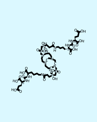 O=C(O)CC[C@H](NC(=O)NC(CCCCNC(=O)CCP(=O)(O)CP(=O)(O)CN1CCCN2CCN(CCCN(CP(=O)(O)CP(=O)(O)CCC(=O)NCCCC[C@H](NC(=O)N[C@@H](CCC(=O)O)C(=O)O)C(=O)O)CC2)CC1)C(=O)O)C(=O)O